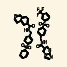 O=C(NCc1ccc(S(=O)(=O)c2cccc(C(F)(F)F)c2)cc1)c1cnc2nccn2c1.O=C(NCc1ccc(S(=O)(=O)c2ccccc2)cc1)c1ccc2cnccc2c1